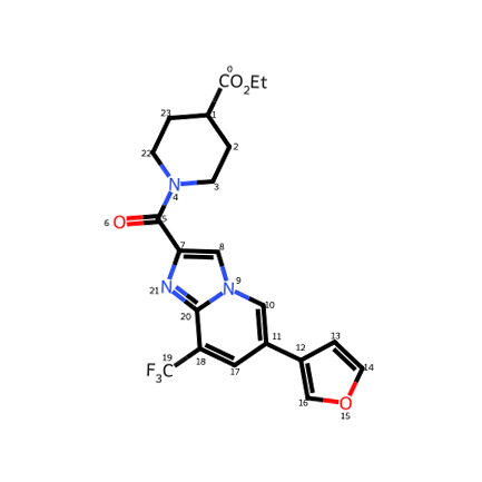 CCOC(=O)C1CCN(C(=O)c2cn3cc(-c4ccoc4)cc(C(F)(F)F)c3n2)CC1